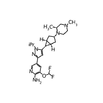 CC(C)n1nc(-c2cnc(N)c(OC(F)F)c2)cc1[C@H]1[C@@H]2C[C@@H](N3CCN(C)C[C@@H]3C)C[C@@H]21